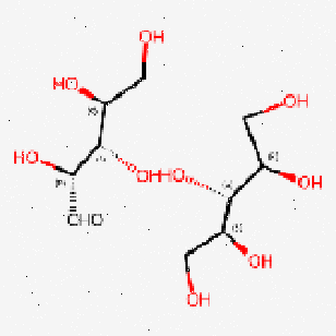 O=C[C@H](O)[C@@H](O)[C@@H](O)CO.OC[C@@H](O)[C@@H](O)[C@@H](O)CO